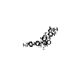 Cc1cc2c(F)c(Oc3ncnc(Nc4ccc(N5CCNCC5)cc4)c3C(N)=O)cc(F)c2[nH]1